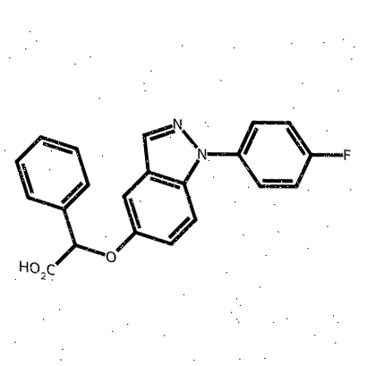 O=C(O)C(Oc1ccc2c(cnn2-c2ccc(F)cc2)c1)c1ccccc1